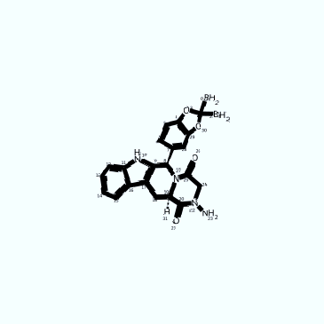 BC1(B)Oc2ccc([C@@H]3c4[nH]c5ccccc5c4C[C@@H]4C(=O)N(N)CC(=O)N34)cc2O1